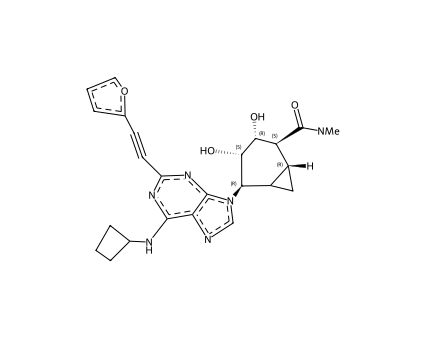 CNC(=O)[C@@H]1[C@@H](O)[C@@H](O)[C@H](n2cnc3c(NC4CCC4)nc(C#Cc4ccco4)nc32)C2C[C@H]21